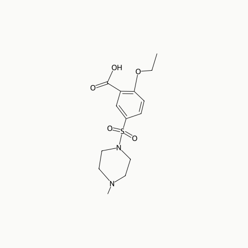 CCOc1ccc(S(=O)(=O)N2CCN(C)CC2)cc1C(=O)O